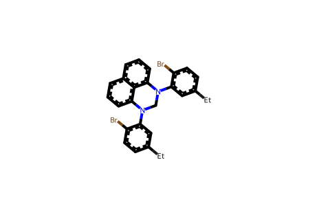 CCc1ccc(Br)c(N2CN(c3cc(CC)ccc3Br)c3cccc4cccc2c34)c1